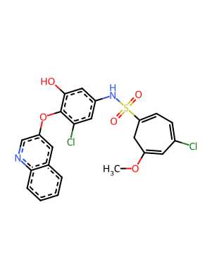 COC1=CC(Cl)=CC=C(S(=O)(=O)Nc2cc(O)c(Oc3cnc4ccccc4c3)c(Cl)c2)C1